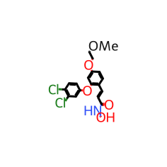 COCCOc1ccc(C=CC(=O)NO)c(Oc2ccc(Cl)c(Cl)c2)c1